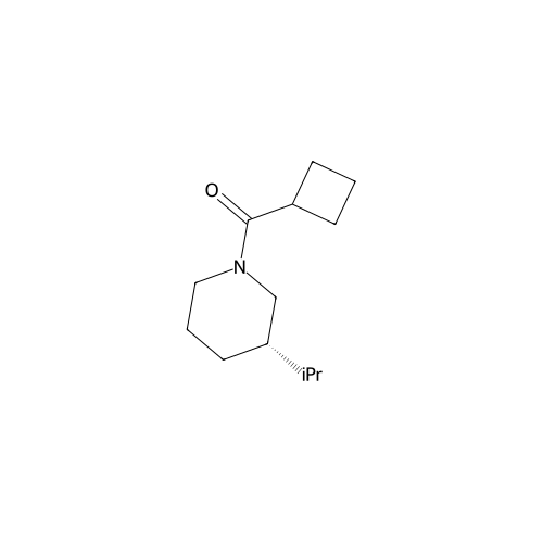 CC(C)[C@@H]1CCCN(C(=O)C2CCC2)C1